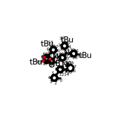 Cc1ccccc1-c1cc2c3c(c1)C1(C)CCCCC1(C)N3c1cc(N(c3ccc(C(C)(C)C)cc3)c3ccc(C(C)(C)C)cc3)cc3c1B2c1oc2cc(C(C)(C)C)ccc2c1N3c1ccc(C(C)(C)C)cc1-c1ccccc1